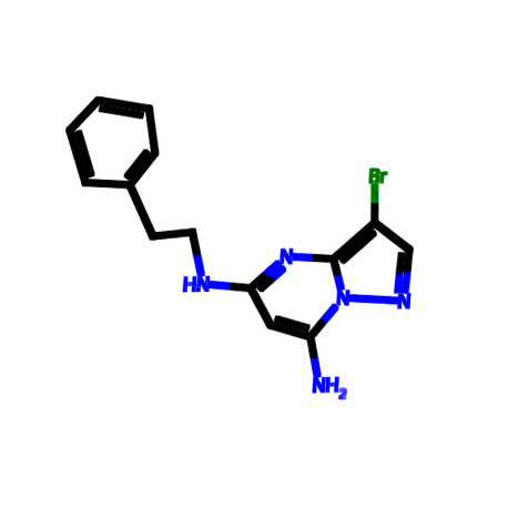 Nc1cc(NCCc2ccccc2)nc2c(Br)cnn12